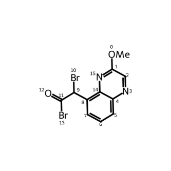 COc1cnc2cccc(C(Br)C(=O)Br)c2n1